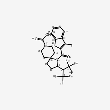 Cc1c(C(=O)N2C(C(C(F)(F)F)C(F)(F)F)CCC23CCN(C(=O)O)CC3)sc2ccccc12